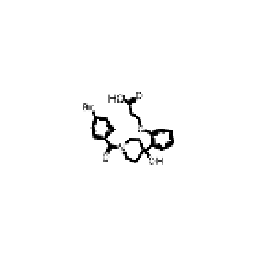 O=C(O)CCOc1ccccc1C1(O)CCN(C(=O)c2ccc(Br)cc2)CC1